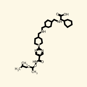 CC(C)COC(C)ONC(=O)c1cnc(N2CCC(CNCC3CCC(CN[C@H](C(=O)O)C4CCCCC4)CC3)CC2)nc1